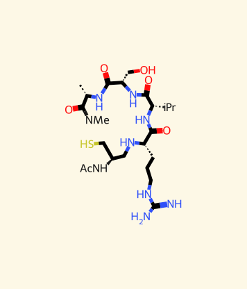 CNC(=O)[C@H](C)NC(=O)[C@H](CO)NC(=O)[C@@H](NC(=O)[C@H](CCCNC(=N)N)NC[C@H](CS)NC(C)=O)C(C)C